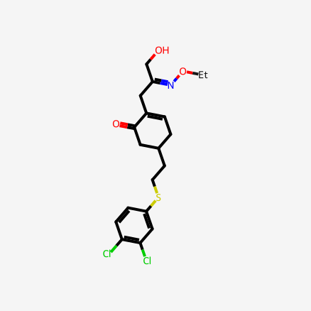 CCON=C(CO)CC1=CCC(CCSc2ccc(Cl)c(Cl)c2)CC1=O